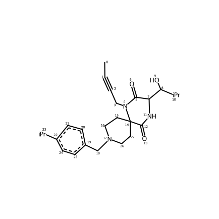 CC#CCN1C(=O)C(C(O)C(C)C)NC(=O)C12CCN(Cc1ccc(C(C)C)cc1)CC2